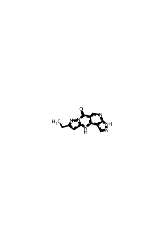 CCc1cc2[nH]c3c(cnc4[nH]ncc43)c(=O)n2n1